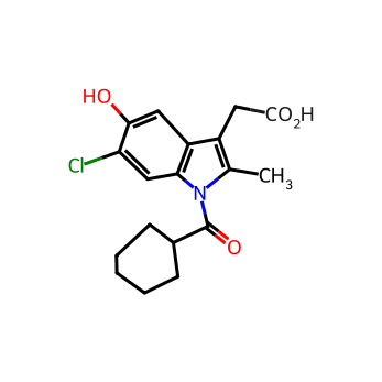 Cc1c(CC(=O)O)c2cc(O)c(Cl)cc2n1C(=O)C1CCCCC1